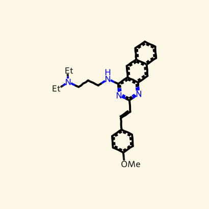 CCN(CC)CCCNc1nc(C=Cc2ccc(OC)cc2)nc2cc3ccccc3cc12